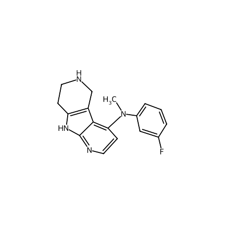 CN(c1cccc(F)c1)c1ccnc2[nH]c3c(c12)CNCC3